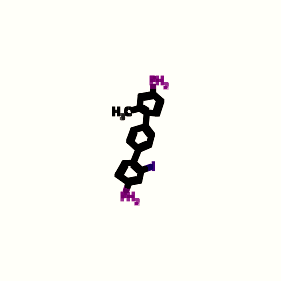 Cc1cc(P)ccc1-c1ccc(-c2ccc(P)cc2I)cc1